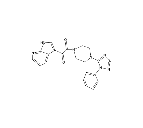 O=C(C(=O)N1CCN(c2nnnn2-c2ccccc2)CC1)c1c[nH]c2ncccc12